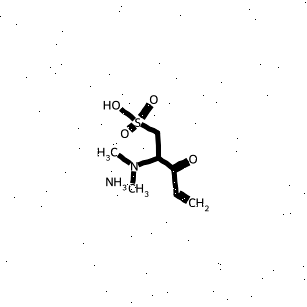 C=CC(=O)C(CS(=O)(=O)O)N(C)C.N